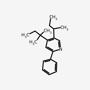 CCC(C)c1cnc(-c2ccccc2)cc1C(C)(C)CC